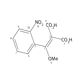 COC(=C(C(=O)O)C(=O)O)c1ccccc1[N+](=O)[O-]